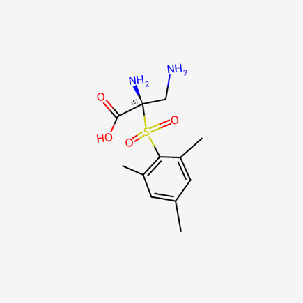 Cc1cc(C)c(S(=O)(=O)[C@@](N)(CN)C(=O)O)c(C)c1